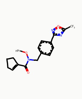 CCCON(Cc1ccc(-c2noc(C(F)(F)F)n2)cc1)C(=O)C1=CCCC1